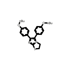 CCCCOc1ccc(-c2nc3n(c2-c2ccc(OCCCC)cc2)CCS3)cc1